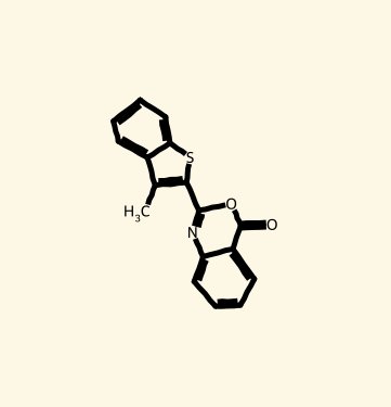 Cc1c(-c2nc3ccccc3c(=O)o2)sc2ccccc12